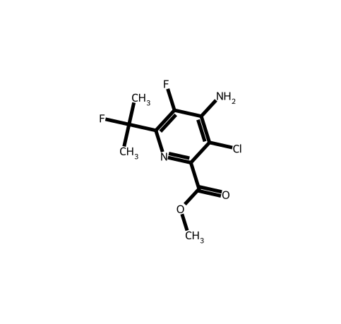 COC(=O)c1nc(C(C)(C)F)c(F)c(N)c1Cl